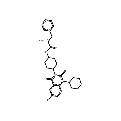 N[C@H](Cc1cccnc1)C(=O)NC1CCC(n2c(=O)c3cc(F)cnc3n(C3CCSCC3)c2=O)CC1